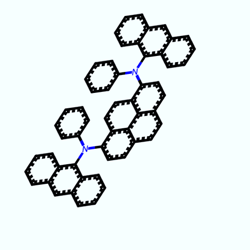 c1ccc(N(c2c3ccccc3cc3ccccc23)c2ccc3ccc4ccc(N(c5ccccc5)c5c6ccccc6cc6ccccc56)c5ccc2c3c45)cc1